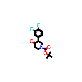 CC(C)(C)OC(=O)N1CCC(=O)C(c2ccc(F)c(F)c2)C1